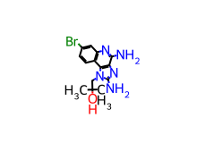 CC(C)(O)Cn1c(N)nc2c(N)nc3cc(Br)ccc3c21